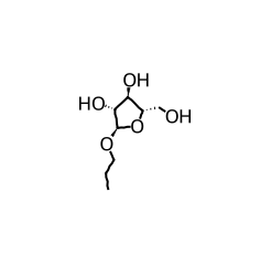 CCCO[C@@H]1O[C@@H](CO)[C@H](O)[C@H]1O